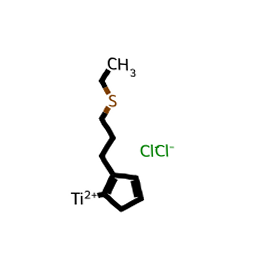 CCSCCCC1=[C]([Ti+2])CC=C1.[Cl-].[Cl-]